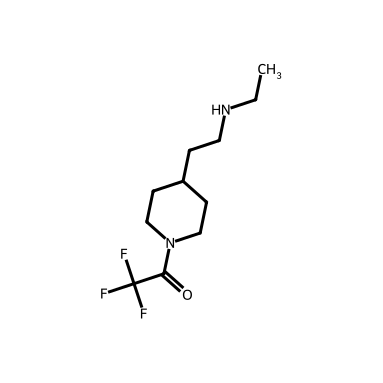 CCNCCC1CCN(C(=O)C(F)(F)F)CC1